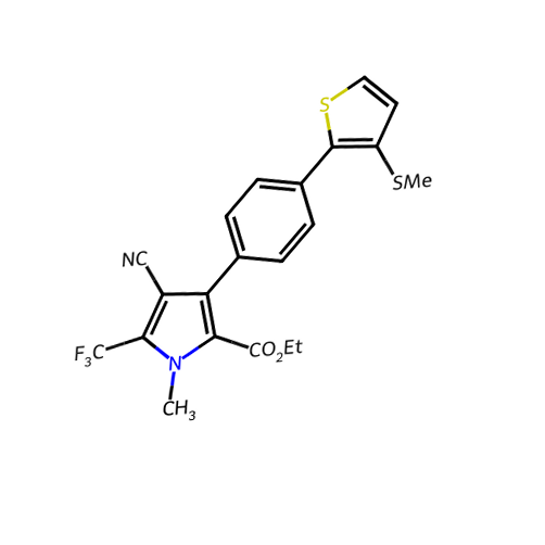 CCOC(=O)c1c(-c2ccc(-c3sccc3SC)cc2)c(C#N)c(C(F)(F)F)n1C